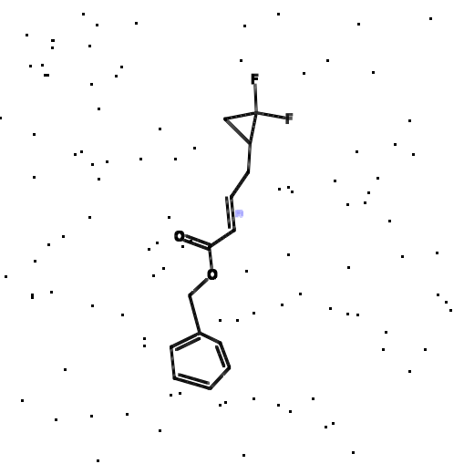 O=C(/C=C/CC1CC1(F)F)OCc1ccccc1